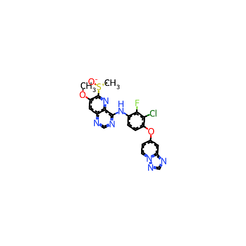 COc1cc2ncnc(Nc3ccc(Oc4ccn5ncnc5c4)c(Cl)c3F)c2nc1[S+](C)[O-]